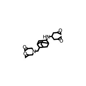 C1OC1CC(CC1CO1)NC1C2CC3CC1CC(C2)C3CN(CC1CO1)CC1CO1